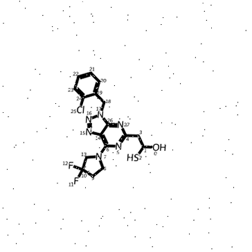 OC(S)Cc1nc(N2CCC(F)(F)C2)c2nnn(Cc3ccccc3Cl)c2n1